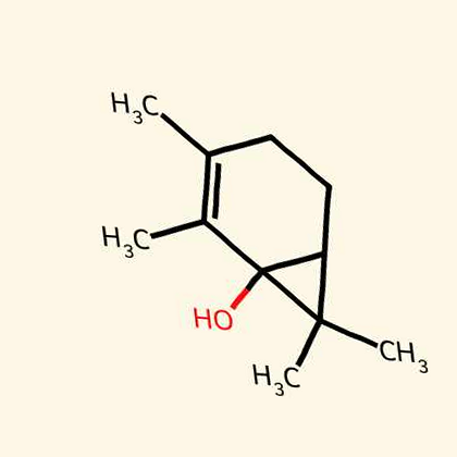 CC1=C(C)C2(O)C(CC1)C2(C)C